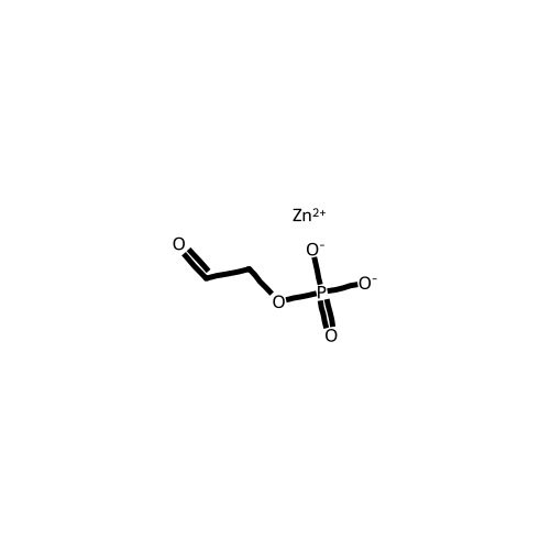 O=CCOP(=O)([O-])[O-].[Zn+2]